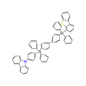 c1ccc([Si](c2ccccc2)(c2ccc(-c3ccc([Si](c4ccccc4)(c4ccccc4)c4cccc5c4sc4ccccc45)cc3)cc2)c2ccc(-n3c4ccccc4c4ccccc43)cc2)cc1